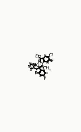 CCc1nn([C@H](C)[C@](O)(Cn2cncn2)c2ccc(F)cc2F)c2cc(F)c(Cl)cc12